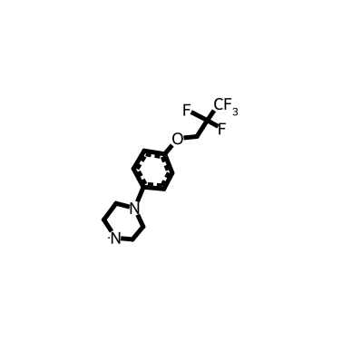 FC(F)(F)C(F)(F)COc1ccc(N2CC[N]CC2)cc1